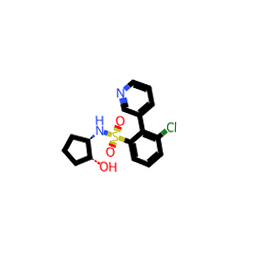 O=S(=O)(N[C@H]1CCC[C@H]1O)c1cccc(Cl)c1-c1cccnc1